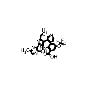 CCc1nn(-c2nc(C)cnc2C)c(Nc2ccc(OC(F)(F)F)cc2C(=O)O)c1-c1cccnc1